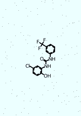 O=C(Nc1cccc(C(F)(F)F)c1)Nc1cc(Cl)ccc1O